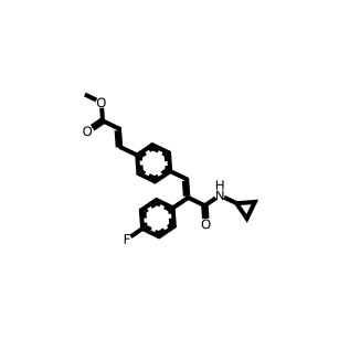 COC(=O)/C=C/c1ccc(/C=C(/C(=O)NC2CC2)c2ccc(F)cc2)cc1